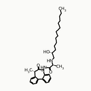 CCCCCCCCCCCC[C@@H](O)CN[C@@H](C)C(=O)NN1C(=O)[C@@H](C)c2ccccc2-c2ccccc21